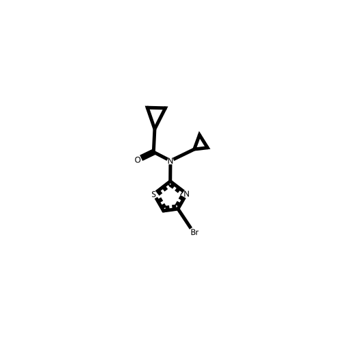 O=C(C1CC1)N(c1nc(Br)cs1)C1CC1